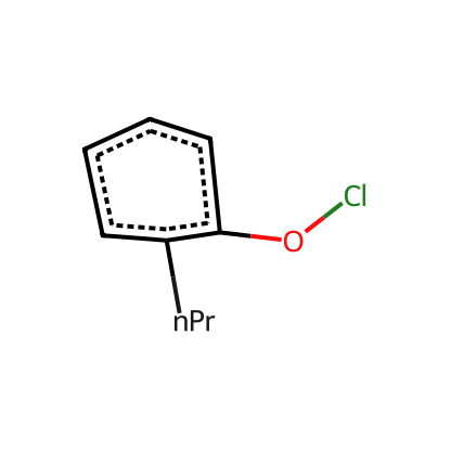 CCCc1ccccc1OCl